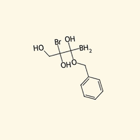 BC(O)(OCc1ccccc1)C(O)(Br)CO